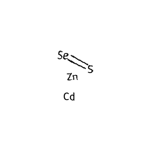 S=[Se].[Cd].[Zn]